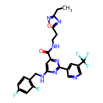 CCc1noc(CCNC(=O)c2cc(NCc3ccc(F)cc3F)nc(-c3cncc(C(F)(F)F)c3)n2)n1